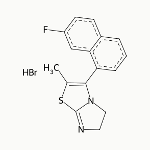 Br.CC1=C(c2cccc3ccc(F)cc23)N2CCN=C2S1